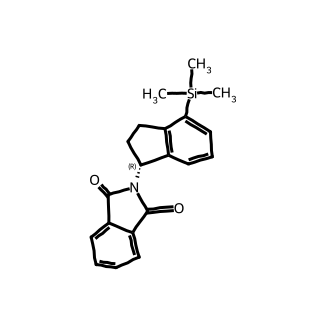 C[Si](C)(C)c1cccc2c1CC[C@H]2N1C(=O)c2ccccc2C1=O